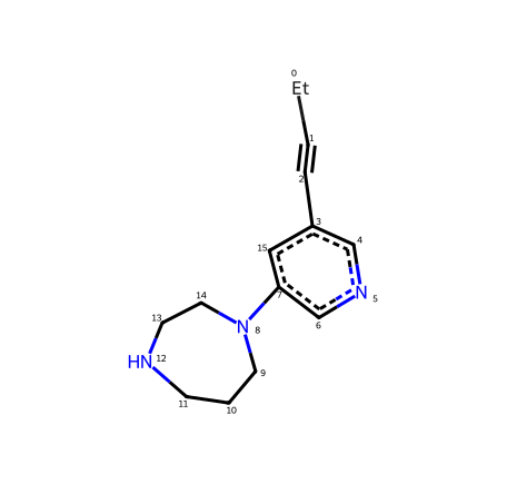 CCC#Cc1cncc(N2CCCNCC2)c1